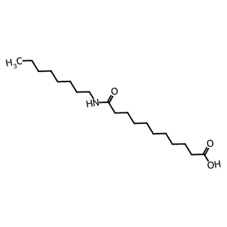 CCCCCCCCNC(=O)CCCCCCCCCC(=O)O